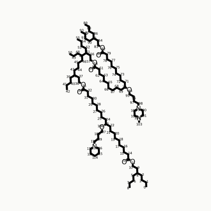 CCCCC(CCCC)CCOC(=O)CCCCCCCCCC(CCCCCCCCCC(=O)OCCC(CCCC)CCCCC(CCC)C(CCCC)CCOC(=O)CCCCCCCCCC(CCCCCCCCCC(=O)OCCC(CCCC)CCCC)OCCCCN1CCN(C)CC1)OCCCCN1CCCCC1